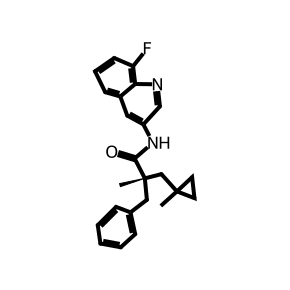 CC1(C[C@](C)(Cc2ccccc2)C(=O)Nc2cnc3c(F)cccc3c2)CC1